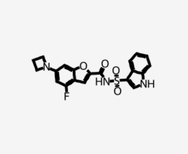 O=C(NS(=O)(=O)c1c[nH]c2ccccc12)c1cc2c(F)cc(N3CCC3)cc2o1